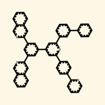 c1ccc(-c2cccc(-c3cc(-c4cc(-c5cc6ccccc6cn5)cc(-c5cc6ccccc6cn5)c4)cc(-c4ccc(-c5ccccn5)cc4)n3)c2)cc1